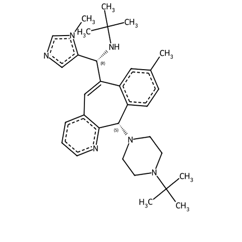 Cc1ccc2c(c1)C([C@@H](NC(C)(C)C)c1cncn1C)=Cc1cccnc1[C@H]2N1CCN(C(C)(C)C)CC1